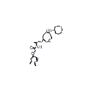 C=C/C=C\C(=C/C=C)OCC(=O)NC(=C)CCC1CCCCC(BC2CCCCCCC2)CCC1